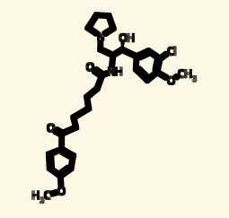 COc1ccc(C(=O)CCCCCC(=O)NC(CN2CCCC2)[C@H](O)c2ccc(OC)c(Cl)c2)cc1